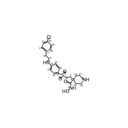 O=C(NO)C1(CCS(=O)(=O)c2ccc(NCCc3ccc(Cl)cc3)cc2)CCNCC1